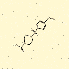 COc1ccc(S(=O)(=O)N2CCN(C(C)=O)CC2)cc1